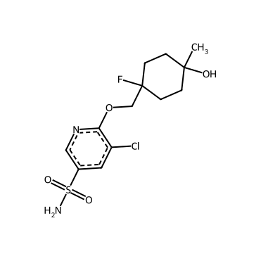 CC1(O)CCC(F)(COc2ncc(S(N)(=O)=O)cc2Cl)CC1